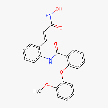 COc1ccccc1Oc1ccccc1C(=O)Nc1ccccc1C=CC(=O)NO